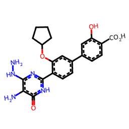 NNc1nc(-c2ccc(-c3ccc(C(=O)O)c(O)c3)cc2OC2CCCC2)[nH]c(=O)c1N